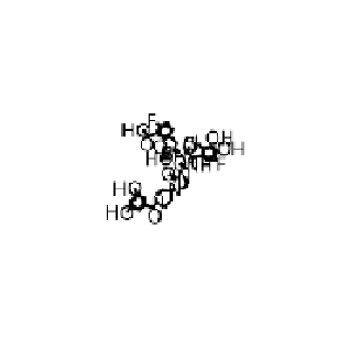 O=C(O)c1c(F)ccc2c1OB(O)[C@@H](NC(=O)[C@H](NC(=O)N1CCN(C3CCN(C(=O)c4cc(O)cc(O)c4)CC3)C1=O)c1cc(F)c(O)c(O)c1Cl)C2